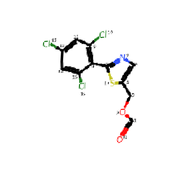 O=[C]OCc1cnc(-c2c(Cl)cc(Cl)cc2Cl)s1